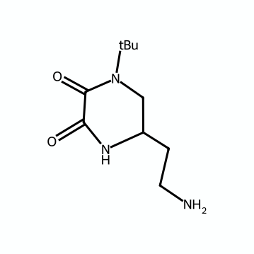 CC(C)(C)N1CC(CCN)NC(=O)C1=O